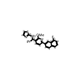 COc1nc(-c2ccc3cccc(F)c3c2)ccc1C(Nc1nccs1)C(C)C